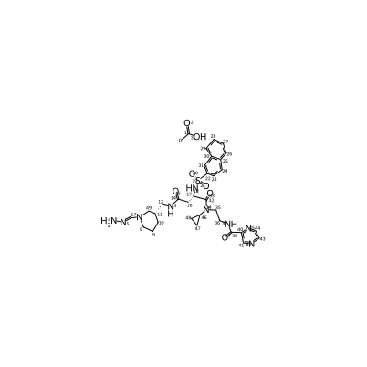 CC(=O)O.NN=CN1CCC[C@@H](CNC(=O)C[C@H](NS(=O)(=O)c2ccc3ccccc3c2)C(=O)N(CCNC(=O)c2cnccn2)C2CC2)C1